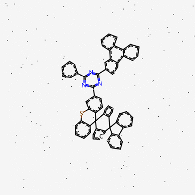 c1ccc(-c2nc(-c3ccc4c(c3)Sc3ccccc3C43c4ccccc4C4(c5ccccc5-c5ccccc54)c4ccccc43)nc(-c3ccc4c5ccccc5c5ccccc5c4c3)n2)cc1